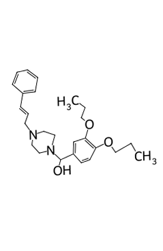 CCCOc1ccc(C(O)N2CCN(C/C=C/c3ccccc3)CC2)cc1OCCC